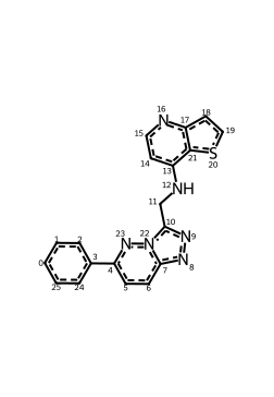 c1ccc(-c2ccc3nnc(CNc4ccnc5ccsc45)n3n2)cc1